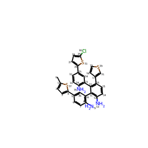 Cc1ccc(-c2ccc(N)c(-c3c(N)[c]cc(-c4ccsc4)c3-c3cc(-c4ccc(Cl)s4)ccc3N)c2)s1